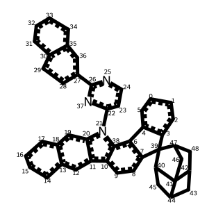 c1ccc2c(c1)-c1c(ccc3c4cc5ccccc5cc4n(-c4ccnc(-c5ccc6ccccc6c5)n4)c13)C21C2CC3CC(C2)CC1C3